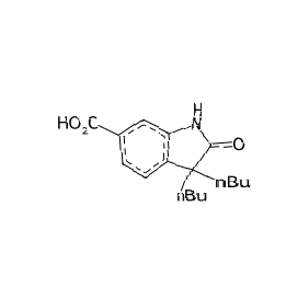 CCCCC1(CCCC)C(=O)Nc2cc(C(=O)O)ccc21